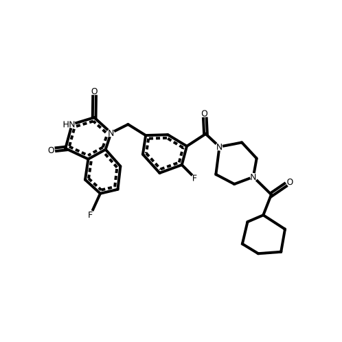 O=C(c1cc(Cn2c(=O)[nH]c(=O)c3cc(F)ccc32)ccc1F)N1CCN(C(=O)C2CCCCC2)CC1